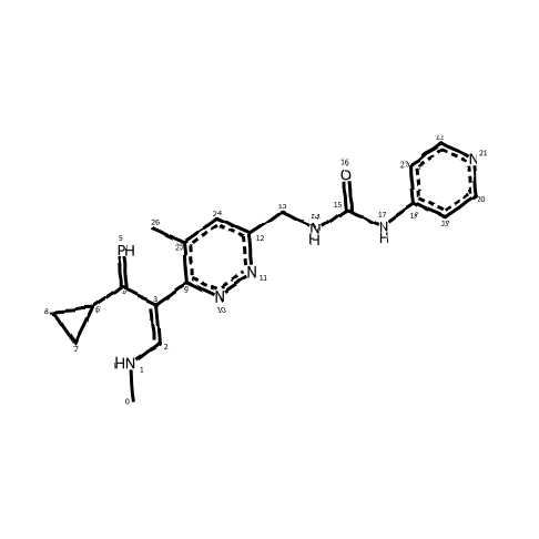 CN/C=C(\C(=P)C1CC1)c1nnc(CNC(=O)Nc2ccncc2)cc1C